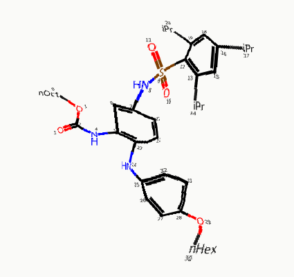 CCCCCCCCOC(=O)Nc1cc(NS(=O)(=O)c2c(C(C)C)cc(C(C)C)cc2C(C)C)ccc1Nc1ccc(OCCCCCC)cc1